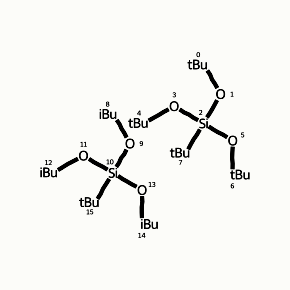 CC(C)(C)O[Si](OC(C)(C)C)(OC(C)(C)C)C(C)(C)C.CCC(C)O[Si](OC(C)CC)(OC(C)CC)C(C)(C)C